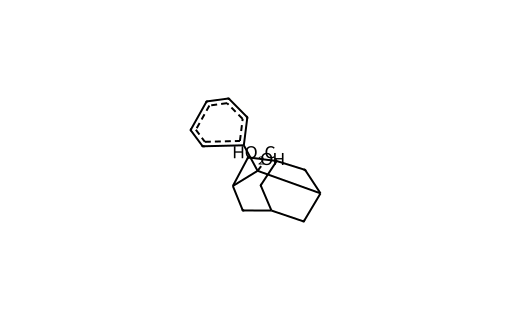 O=C(O)C12CC3CC(C1)C(O)(c1ccccc1)C(C3)C2